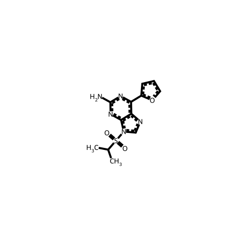 CC(C)S(=O)(=O)n1cnc2c(-c3ccco3)nc(N)nc21